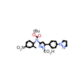 Cc1cc([N+](=O)[O-])ccc1N(C(=O)OC(C)(C)C)c1cc(-c2ccc(-n3cccn3)cc2)n(C(=O)O)n1